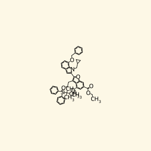 CCOC(=O)c1cc(OC)c2c(CCO[Si](c3ccccc3)(c3ccccc3)C(C)(C)C)c(-c3cc4cccc(OCc5ccccc5)c4n3CC3CC3)oc2c1